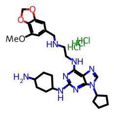 COc1cc(CNCCNc2nc(NC3CCC(N)CC3)nc3c2ncn3C2CCCC2)cc2c1OCO2.Cl.Cl.Cl